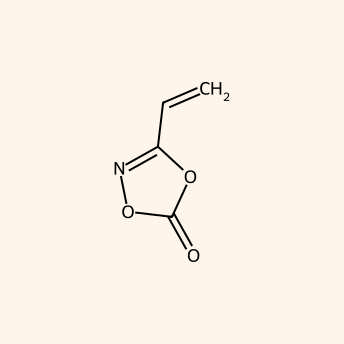 C=Cc1noc(=O)o1